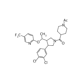 CC(=O)N1CCC(C(=O)N2CC(c3ccc(Cl)c(Cl)c3)C(C(C)Oc3ccc(C(F)(F)F)cn3)C2)CC1